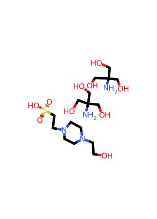 NC(CO)(CO)CO.NC(CO)(CO)CO.O=S(=O)(O)CCN1CCN(CCO)CC1